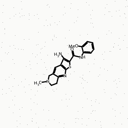 COc1ccccc1NC(=O)c1sc2nc3c(cc2c1N)CN(C)CC3